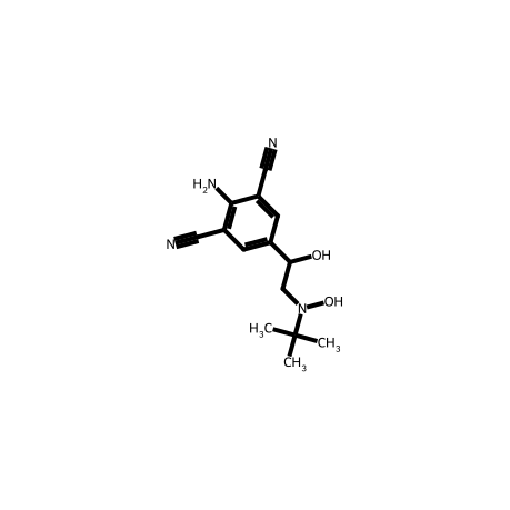 CC(C)(C)N(O)CC(O)c1cc(C#N)c(N)c(C#N)c1